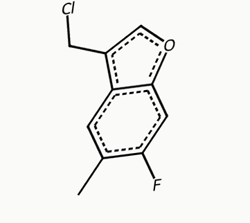 Cc1cc2c(CCl)coc2cc1F